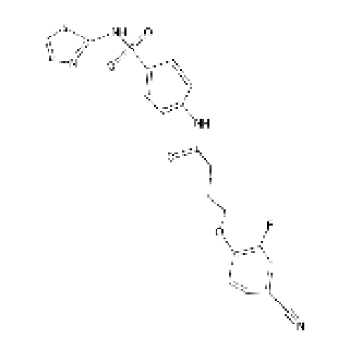 N#Cc1ccc(OCCCC(=O)Nc2ccc(S(=O)(=O)Nc3nccs3)cc2)c(F)c1